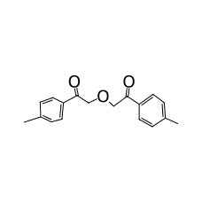 Cc1ccc(C(=O)COCC(=O)c2ccc(C)cc2)cc1